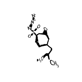 C=C(C)CC1=CC=C(S(=O)(=O)N=[N+]=[N-])C(=O)C1